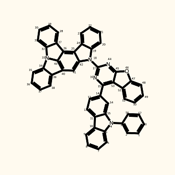 c1ccc(-n2c3ccccc3c3ccc(-c4nc(-n5c6ccccc6c6c7c8ccccc8n8c9ccccc9c(cc65)c78)nc5oc6ccccc6c45)cc32)cc1